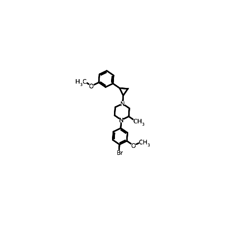 COc1cccc(C2CC2N2CCN(c3ccc(Br)c(OC)c3)C(C)C2)c1